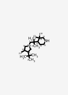 CC(C)(C)C1CN(CC(C)(C)C2CCNCC2(I)I)CC1I